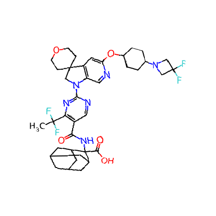 CC(F)(F)c1nc(N2CC3(CCOCC3)c3cc(OC4CCC(N5CC(F)(F)C5)CC4)ncc32)ncc1C(=O)NC1(C(=O)O)C2CC3CC(C2)CC1C3